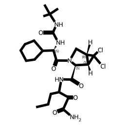 CCCC(NC(=O)[C@@H]1[C@@H]2[C@H](CN1C(=O)[C@@H](NC(=O)NC(C)(C)C)C1CCCCC1)C2(Cl)Cl)C(=O)C(N)=O